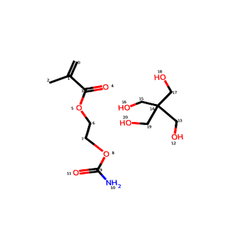 C=C(C)C(=O)OCCOC(N)=O.OCC(CO)(CO)CO